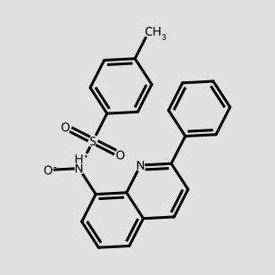 Cc1ccc(S(=O)(=O)[NH+]([O-])c2cccc3ccc(-c4ccccc4)nc23)cc1